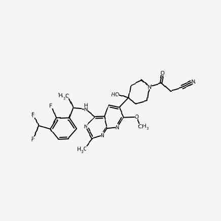 COc1nc2nc(C)nc(NC(C)c3cccc(C(F)F)c3F)c2cc1C1(O)CCN(C(=O)CC#N)CC1